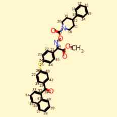 COC(=O)/C(=N\OC(=O)N1CCC(c2ccccc2)CC1)c1ccc(Sc2ccc(C(=O)c3cccc4ccccc34)cc2)cc1